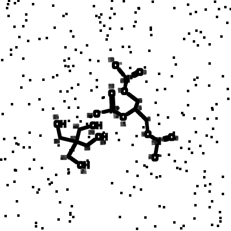 O=[N+]([O-])OCC(CO[N+](=O)[O-])O[N+](=O)[O-].OCC(CO)(CO)CO